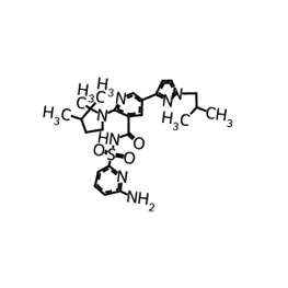 CC(C)Cn1ccc(-c2cnc(N3CCC(C)C3(C)C)c(C(=O)NS(=O)(=O)c3cccc(N)n3)c2)n1